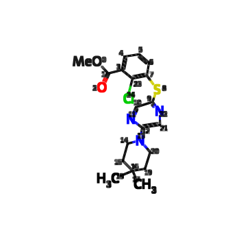 COC(=O)c1cccc(Sc2cnc(N3CCC(C)(C)CC3)cn2)c1Cl